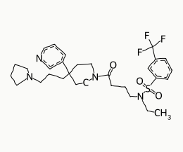 CCN(CCCC(=O)N1CCC(CCCN2CCCC2)(c2cccnc2)CC1)S(=O)(=O)c1cccc(C(F)(F)F)c1